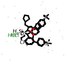 C[Si](C)(C)c1ccc(-c2cccc3c2C=C(CC2CCCC2)[CH]3[Zr]([CH3])(=[SiH2])([CH2]CC(F)(F)F)[CH]2C(CC3CCCC3)=Cc3c(-c4ccc([Si](C)(C)C)cc4)cccc32)cc1.Cl.Cl